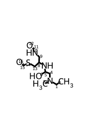 CCN(C)CC(O)NC(CNC=O)CSC=O